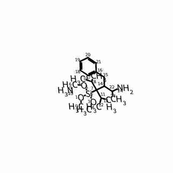 CO[Si](OC)(OC)C(C(C)C)(C(C)C)C(Cc1ccccc1)C(C)N.N